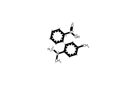 Cc1ccc(N(C)C)cc1.O=S(O)c1ccccc1